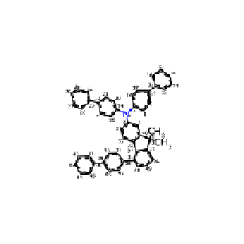 CC1(C)c2cc(N(c3ccc(-c4ccccc4)cc3)c3ccc(-c4ccccc4)cc3)ccc2-c2c(-c3ccc(-c4ccccc4)cc3)cccc21